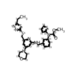 CCc1nnc(SCc2cc(N3CCOCC3)cc(NCc3cccc(N(C(=O)OC)c4cccs4)c3)n2)s1